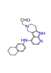 O=CCN1CCc2[nH]c3nccc(Nc4ccc5c(c4)CCCC5)c3c2C1